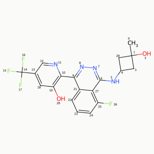 CC1(O)CC(Nc2nnc(-c3ncc(C(F)(F)F)cc3O)c3cccc(F)c23)C1